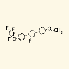 CCOc1ccc(-c2ccc(-c3ccc(OC(F)(F)C=C(F)F)cc3)c(F)c2)cc1